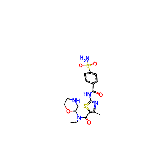 CCN(C(=O)c1sc(NC(=O)c2ccc(S(N)(=O)=O)cc2)nc1C)C1CNCCO1